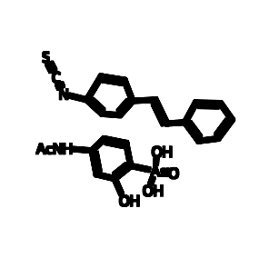 CC(=O)Nc1ccc([As](=O)(O)O)c(O)c1.S=C=Nc1ccc(C=Cc2ccccc2)cc1